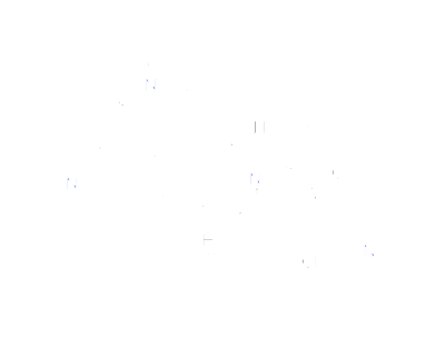 CCC(C)(C#N)C(=O)N1C[C@@H]2C[C@H]1c1cncc(C#N)c1S2